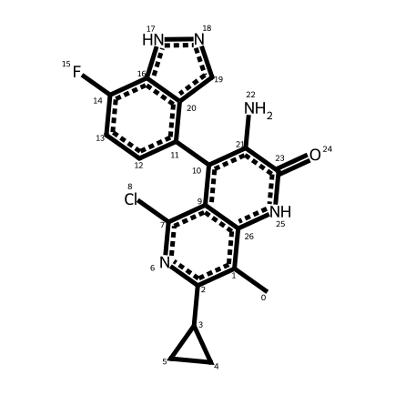 Cc1c(C2CC2)nc(Cl)c2c(-c3ccc(F)c4[nH]ncc34)c(N)c(=O)[nH]c12